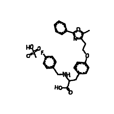 CS(=O)(=O)O.Cc1oc(-c2ccccc2)nc1CCOc1ccc(CC(NCc2ccc(F)cc2)C(=O)O)cc1